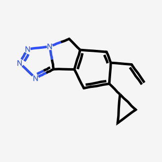 C=Cc1cc2c(cc1C1CC1)-c1nnnn1C2